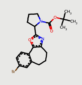 CC(C)(C)OC(=O)N1CCCC1c1nc2c(o1)-c1ccc(Br)cc1CCC2